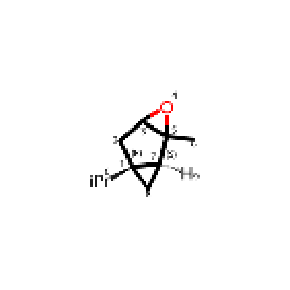 CC(C)[C@@]12CC3OC3(C)[C@H]1C2